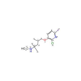 CC(COc1ccc(I)nc1Cl)CC(C)(C)NC(=O)O